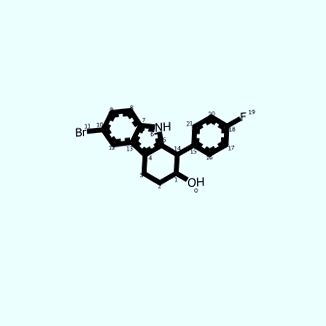 OC1CCc2c([nH]c3ccc(Br)cc23)C1c1ccc(F)cc1